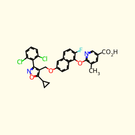 Cc1cc(C(=O)O)cnc1Oc1c(F)ccc2cc(OCc3c(-c4c(Cl)cccc4Cl)noc3C3CC3)ccc12